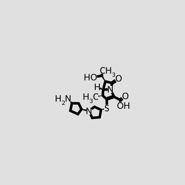 CC(O)[C@H]1C(=O)N2C(C(=O)O)=C(S[C@@H]3CCN([C@H]4CC[C@@H](N)C4)C3)[C@H](C)[C@H]12